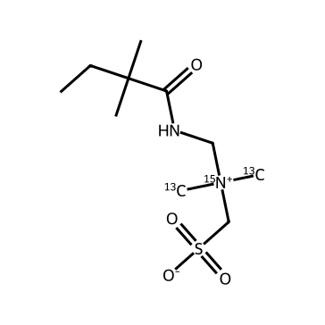 CCC(C)(C)C(=O)NC[15N+]([13CH3])([13CH3])CS(=O)(=O)[O-]